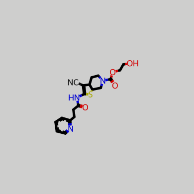 N#CC1=C(NC(=O)CCc2ccccn2)SC2CN(C(=O)OCCO)CCC12